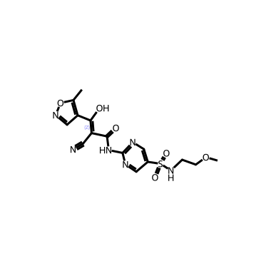 COCCNS(=O)(=O)c1cnc(NC(=O)/C(C#N)=C(\O)c2cnoc2C)nc1